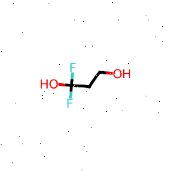 OCCC(O)(F)F